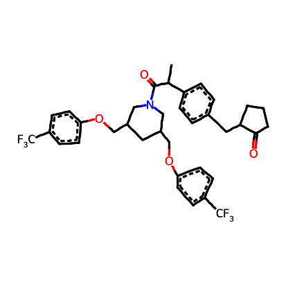 CC(C(=O)N1CC(COc2ccc(C(F)(F)F)cc2)CC(COc2ccc(C(F)(F)F)cc2)C1)c1ccc(CC2CCCC2=O)cc1